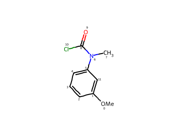 COc1cccc(N(C)C(=O)Cl)c1